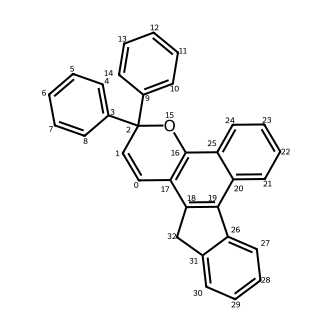 C1=CC(c2ccccc2)(c2ccccc2)Oc2c1c1c(c3ccccc23)-c2ccccc2C1